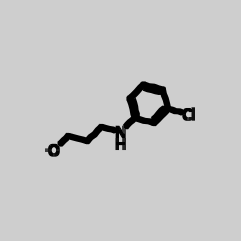 [O]CCCNc1cccc(Cl)c1